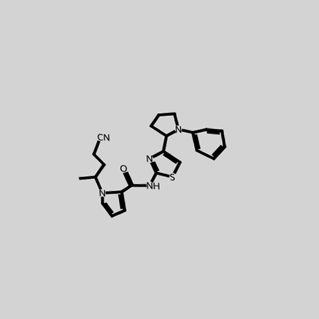 CC(CCC#N)n1cccc1C(=O)Nc1nc(C2CCCN2c2ccccc2)cs1